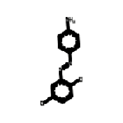 Nc1ccc(N=Nc2cc(Cl)ccc2Cl)cc1